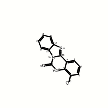 O=c1[nH]c2c(Cl)cccc2c2nc3ccccc3n12